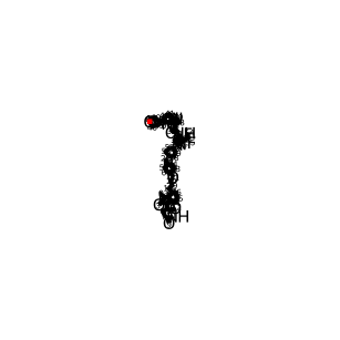 CN1C(=O)C(C2CCC(=O)NC2=O)c2cccc(CCCOC3CCN(C[C@H]4CC[C@H](n5cc(NC(=O)c6cnn7ccc(N8CCOCC8)nc67)c(C(F)F)n5)CC4)CC3)c21